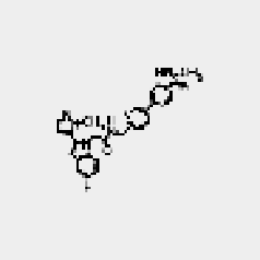 Cn1nccc1-c1cc2cc(F)ccc2n1CC(=O)NCc1ccc(-c2ccc(S(C)(=N)=O)cc2)cn1